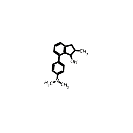 CC1Cc2cccc(-c3ccc(N(C)C)cc3)c2C1O